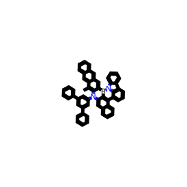 Cc1c2c(cc3cc4ccccc4cc13)B1c3c(cc4ccccc4c3-c3cccc4c5ccccc5n1c34)N2c1cc(-c2ccccc2)cc(-c2ccccc2)c1